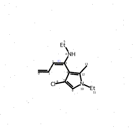 C=C/C=C(/NCC)c1c(Cl)cn(CC)c1C